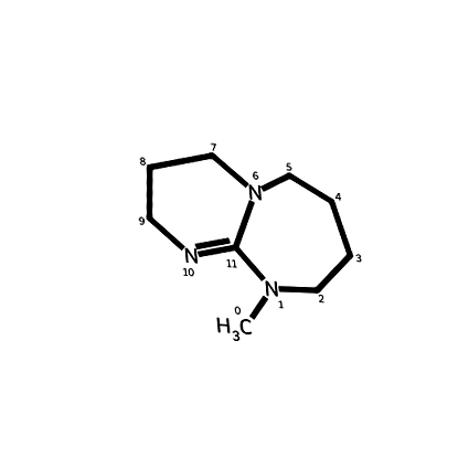 CN1CCCCN2CCCN=C12